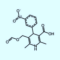 CC1=C(COC=O)C(c2cccc([N+](=O)[O-])c2)C(C(=O)O)=C(C)N1